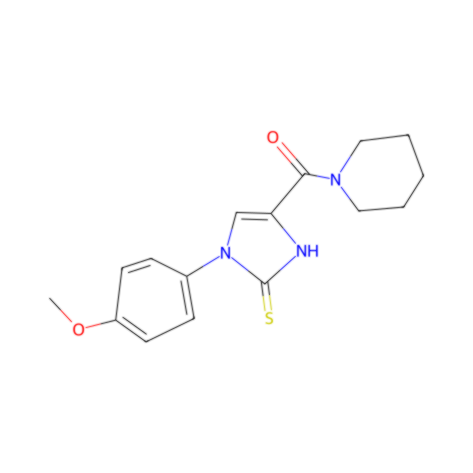 COc1ccc(-n2cc(C(=O)N3CCCCC3)[nH]c2=S)cc1